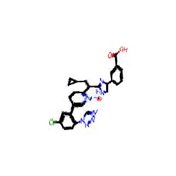 O=C(O)c1cccc(-c2c[nH]c(C(CC3CC3)c3ccc(-c4cc(Cl)ccc4-n4cnnn4)c[n+]3[O-])n2)c1